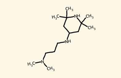 CN(C)CCCNC1CC(C)(C)NC(C)(C)C1